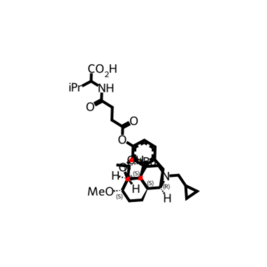 CO[C@@]12CC[C@@]3(C[C@@H]1[C@@](C)(O)C(C)(C)C)[C@H]1Cc4ccc(OC(=O)CCC(=O)NC(C(=O)O)C(C)C)c5c4[C@@]3(CCN1CC1CC1)[C@H]2O5